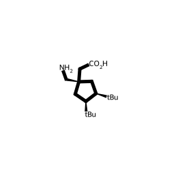 CC(C)(C)[C@@H]1C[C@@](CN)(CC(=O)O)C[C@@H]1C(C)(C)C